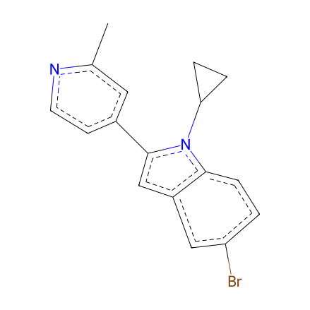 Cc1cc(-c2cc3cc(Br)ccc3n2C2CC2)ccn1